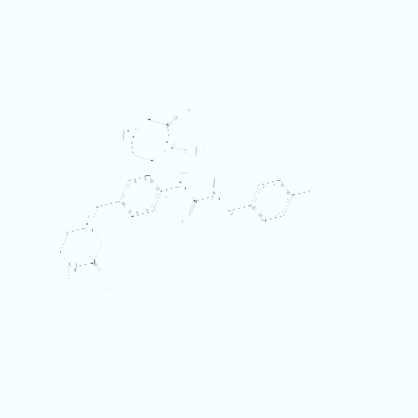 CN1CCN(Cc2ccc(NC(=O)NCc3ccc(Cl)cc3)cc2)CC1=O.CN1CCNCC1=O